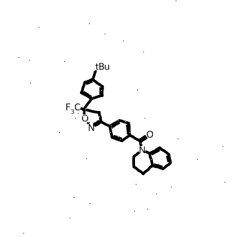 CC(C)(C)c1ccc(C2(C(F)(F)F)CC(c3ccc(C(=O)N4CCCc5ccccc54)cc3)=NO2)cc1